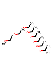 CC[O-].CC[O-].CC[O-].CC[O-].CC[O-].CC[O-].CC[O-].CC[O-].[Hf+4].[Zr+4]